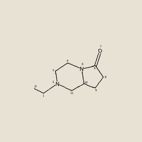 CCN1CCN2C(=O)CCC2C1